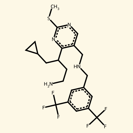 CSc1ncc(CNCc2cc(C(F)(F)F)cc(C(F)(F)F)c2)c(C(CCN)CC2CC2)n1